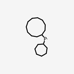 C1CCCCCC([P]C2CCCCCC2)CCCC1